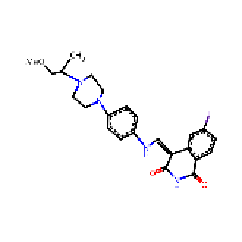 COCC(C)N1CCN(c2ccc(N/C=C3\C(=O)NC(=O)c4ccc(I)cc43)cc2)CC1